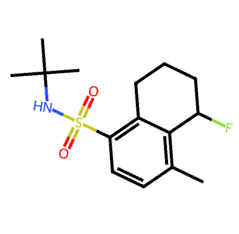 Cc1ccc(S(=O)(=O)NC(C)(C)C)c2c1C(F)CCC2